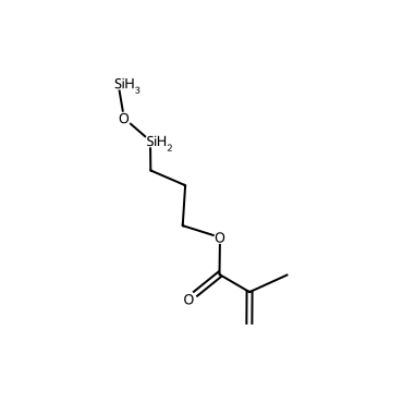 C=C(C)C(=O)OCCC[SiH2]O[SiH3]